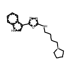 c1ccc2c(-c3nnc(NCCCCN4CCCC4)o3)c[nH]c2c1